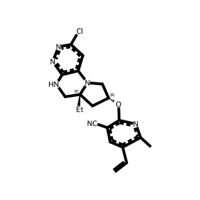 C=Cc1cc(C#N)c(O[C@H]2CN3c4cc(Cl)nnc4NC[C@@]3(CC)C2)nc1C